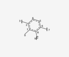 Cc1c(I)ccc(I)c1F